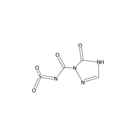 O=C(N=S(=O)=O)n1nc[nH]c1=O